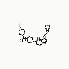 O=C(C1CCNCC1)N1CCN(c2ccc3ccn(CCN4CCCC4)c3n2)CC1